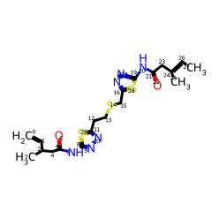 C=CC(C)CC(=O)Nc1nnc(CCSCc2nnc(NC(=O)C/C(C)=C/C)s2)s1